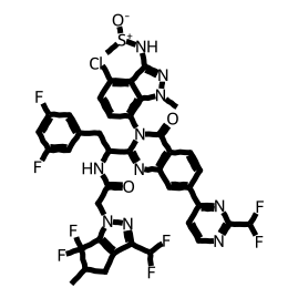 CC1Cc2c(C(F)F)nn(CC(=O)NC(Cc3cc(F)cc(F)c3)c3nc4cc(-c5ccnc(C(F)F)n5)ccc4c(=O)n3-c3ccc(Cl)c4c(N[S+](C)[O-])nn(C)c34)c2C1(F)F